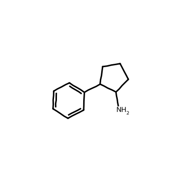 NC1CCCC1c1ccccc1